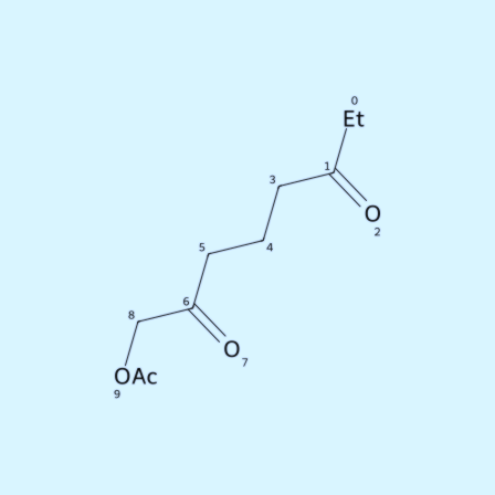 CCC(=O)CCCC(=O)COC(C)=O